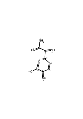 N=C(N)C(=N)N/C=N\C(=N)[N+](=O)[O-]